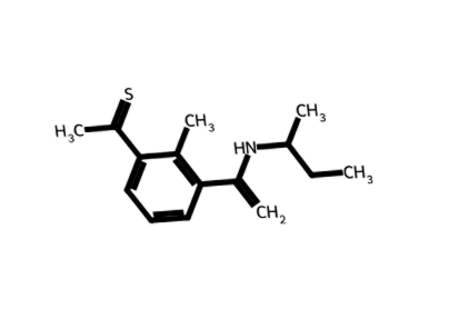 C=C(NC(C)CC)c1cccc(C(C)=S)c1C